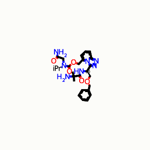 CC(C)N(CC(N)=O)C(=O)OCc1cccc2nnc([C@@H](COCc3ccccc3)NC(=O)C(C)(C)N)n12